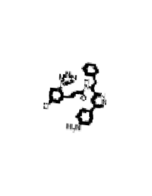 Nc1ccc(-c2cnnc(C(Cc3ccccc3)NC(=O)C=Cc3cc(Cl)ccc3-n3cnnn3)c2)cc1